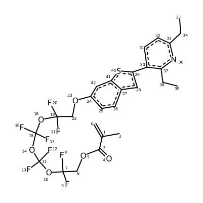 C=C(C)C(=O)OCC(F)(F)OC(F)(F)OC(F)(F)OC(F)(F)COc1ccc2cc(-c3ccc(CC)nc3CC)sc2c1